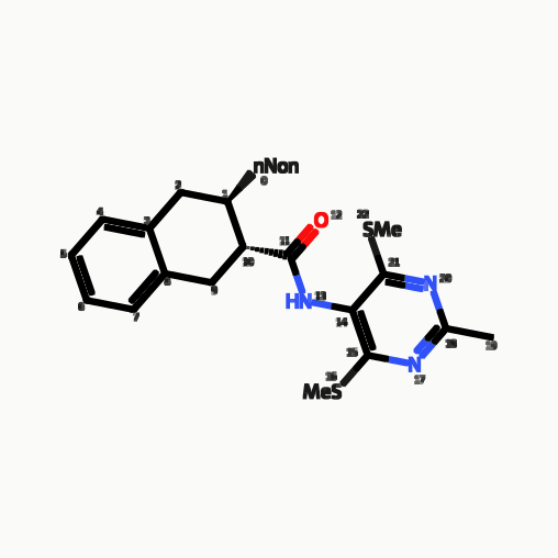 CCCCCCCCC[C@@H]1Cc2ccccc2C[C@H]1C(=O)Nc1c(SC)nc(C)nc1SC